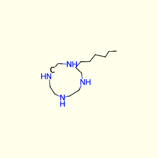 CCCCCCC1CNCCNCCNCCN1